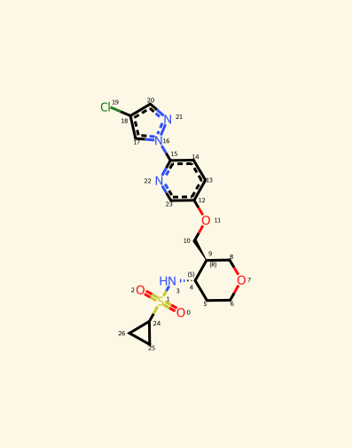 O=S(=O)(N[C@H]1CCOC[C@@H]1COc1ccc(-n2cc(Cl)cn2)nc1)C1CC1